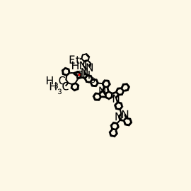 CCC1CC=CC2=C1NC(n1c3cc4cc(-c5cccc6c7c8c9cc%10ccccc%10cc9n(-c9ccc(-c%10nc(-c%11ccc%12ccccc%12c%11)c%11ccccc%11n%10)cc9)c8cc8c9ccccc9n(c56)c87)ccc4cc3c3c4c(C)c(cc31)-c1ccccc1C(C)C(C)c1ccccc1-4)N=C2